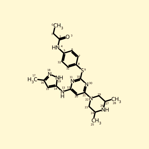 CCC(=O)Nc1ccc(Sc2nc(Nc3cc(C)n[nH]3)cc(N3CC(C)NC(C)C3)n2)cc1